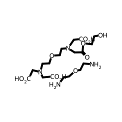 NCCOCCN.O=C(O)CN(CCOCCN(CC(=O)O)CC(=O)OCCO)CC(=O)O